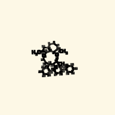 C=C1COC2C3C(CCC[C@@H]2C)C[C@H](C)C3OCCC2c3ccccc3-c3ccc(-c4ccccc4)c[n+]3C12